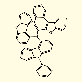 c1ccc(-n2c3ccccc3c3c(N(c4cc5ccccc5c5c4oc4ccccc45)c4cccc5oc6ccccc6c45)cccc32)cc1